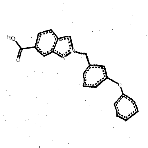 O=C(O)c1ccc2cn(Cc3cccc(Oc4ccccc4)c3)nc2c1